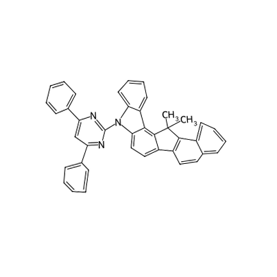 CC1(C)c2c(ccc3ccccc23)-c2ccc3c(c21)c1ccccc1n3-c1nc(-c2ccccc2)cc(-c2ccccc2)n1